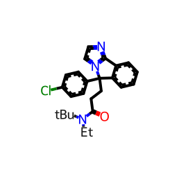 CCN(C(=O)CCC1(c2ccc(Cl)cc2)c2ccccc2-c2nccn21)C(C)(C)C